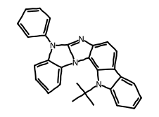 CC(C)(C)n1c2ccccc2c2ccc3nc4n(-c5ccccc5)c5ccccc5n4c3c21